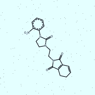 O=C1C2=C(CCC=C2)C(=O)N1CCN1CCN(c2ccccc2[N+](=O)[O-])C1=O